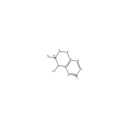 CC1c2cnccc2CCN1C